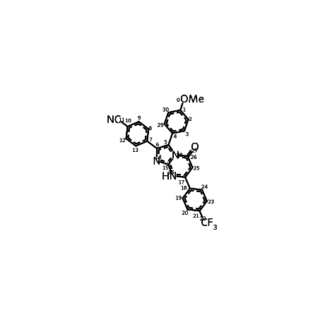 COc1ccc(-c2c(-c3ccc(C#N)cc3)nc3[nH]c(-c4ccc(C(F)(F)F)cc4)cc(=O)n23)cc1